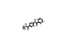 CC(C)(C)NC(=O)c1ccc(NC(=O)c2ccccc2)cc1